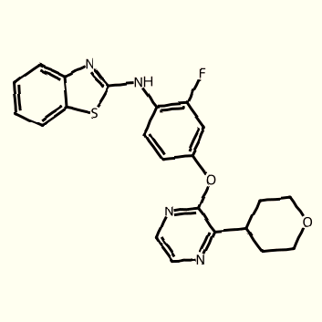 Fc1cc(Oc2nccnc2C2CCOCC2)ccc1Nc1nc2ccccc2s1